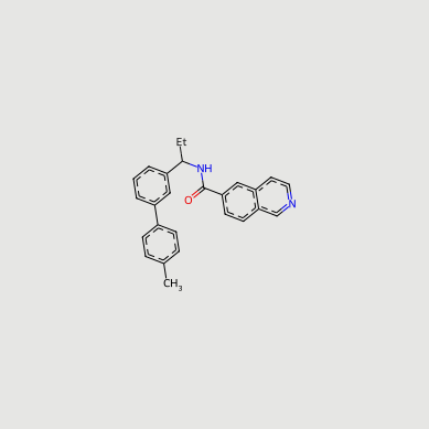 CCC(NC(=O)c1ccc2cnccc2c1)c1cccc(-c2ccc(C)cc2)c1